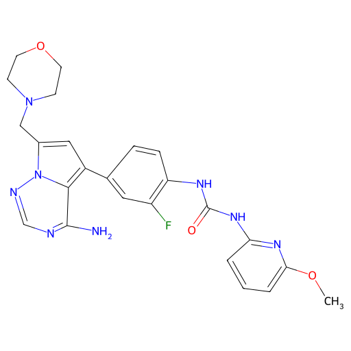 COc1cccc(NC(=O)Nc2ccc(-c3cc(CN4CCOCC4)n4ncnc(N)c34)cc2F)n1